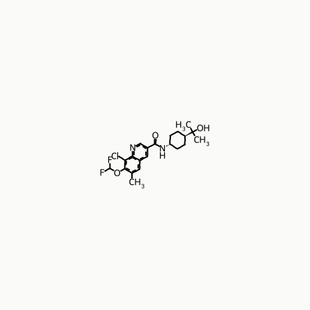 Cc1cc2cc(C(=O)N[C@H]3CC[C@H](C(C)(C)O)CC3)cnc2c(Cl)c1OC(F)F